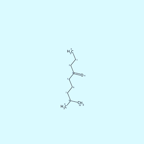 CCCC(=O)[CH]CCC(C)C